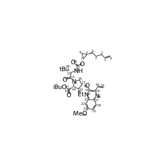 C=CCCC[C@@H]1C[C@H]1OC(=O)N[C@H](C(=O)N1C[C@H](Oc2nc3cc(OC)ccc3nc2C=C)[C@@H](CC)[C@H]1C(=O)OCC(C)C)C(C)(C)C